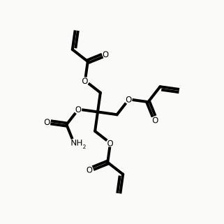 C=CC(=O)OCC(COC(=O)C=C)(COC(=O)C=C)OC(N)=O